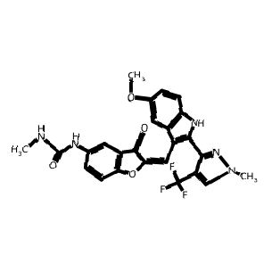 CNC(=O)Nc1ccc2c(c1)C(=O)C(=Cc1c(-c3nn(C)cc3C(F)(F)F)[nH]c3ccc(OC)cc13)O2